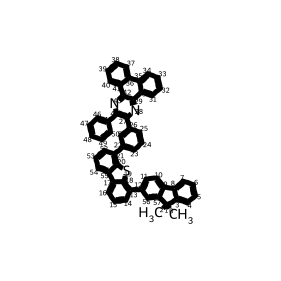 CC1(C)c2ccccc2-c2ccc(-c3cccc4c3sc3c(-c5cccc(-c6nc7c8ccccc8c8ccccc8c7nc6-c6ccccc6)c5)cccc34)cc21